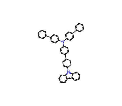 C1=C(c2ccc(N(c3ccc(-c4ccccc4)cc3)c3ccc(-c4ccccc4)cc3)cc2)CCC(n2c3ccccc3c3ccccc32)=C1